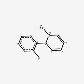 Cc1ccccc1C1C=CC=CN1C(C)C